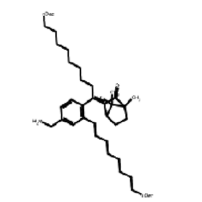 CCCCCCCCCCCCCCCCCCC(=C1C(=O)C2(C)CCC1C2(C)C)c1ccc(CN)cc1CCCCCCCCCCCCCCCCCC